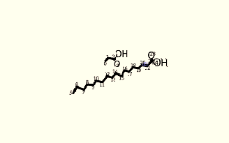 CCC(=O)O.CCCCCCCCCCCCCCC/C=C/C(=O)O